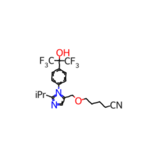 CC(C)c1ncc(COCCCCC#N)n1-c1ccc(C(O)(C(F)(F)F)C(F)(F)F)cc1